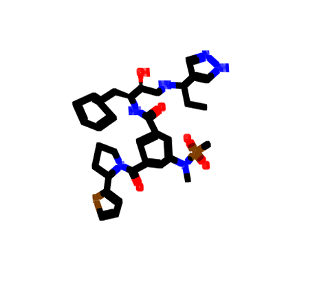 CCC(NC[C@@H](O)[C@H](Cc1ccccc1)NC(=O)c1cc(C(=O)N2CCCC2c2cccs2)cc(N(C)S(C)(=O)=O)c1)c1cn[nH]c1